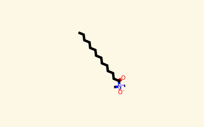 CCCCCCCCCCCCCC(=O)[N+](C)(C)[O-]